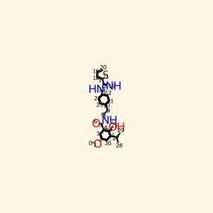 COc1cc(C(=O)NCCc2ccc(NC(=N)c3cccs3)cc2)c(O)c(C(C)C)c1